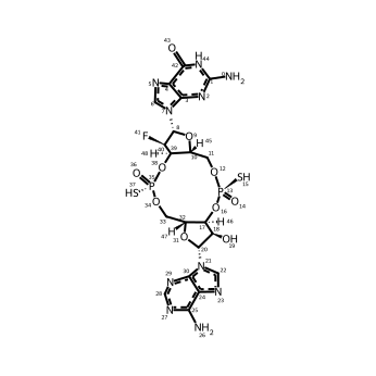 Nc1nc2c(ncn2[C@@H]2O[C@@H]3CO[P@@](=O)(S)O[C@H]4[C@@H](O)[C@H](n5cnc6c(N)ncnc65)O[C@@H]4CO[P@](=O)(S)O[C@H]3[C@H]2F)c(=O)[nH]1